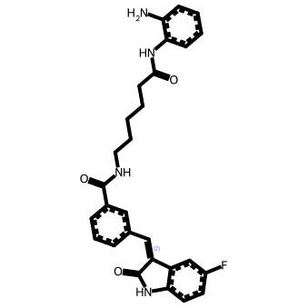 Nc1ccccc1NC(=O)CCCCCNC(=O)c1cccc(/C=C2\C(=O)Nc3ccc(F)cc32)c1